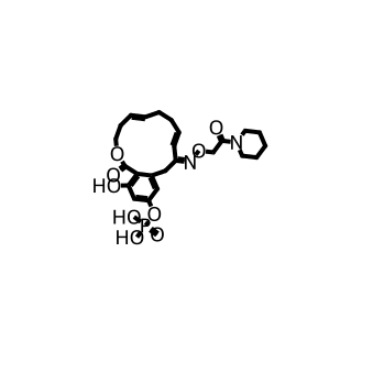 O=C1OCC/C=C/CC/C=C/C(=N\OCC(=O)N2CCCCC2)Cc2cc(OP(=O)(O)O)cc(O)c21